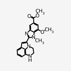 COC(=O)c1cc(OC)c2c(c1)nc(-c1cc3cccc4c3n1CCN4)n2C